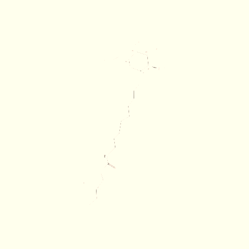 CC(=O)N[C@H]1[C@H](OCCCCCCCCNC(=O)OC[C@@H](O)CO)O[C@H](COC(C)=O)[C@H](OC(C)=O)[C@@H]1OC(C)=O